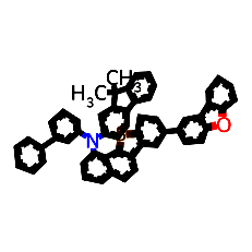 CC1(C)c2ccccc2-c2ccc(N(c3cccc(-c4ccccc4)c3)c3cccc4ccc5c6cc(-c7ccc8oc9ccccc9c8c7)ccc6sc5c34)cc21